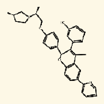 CC1=C(c2cccc(O)c2)C(c2ccc(OC[C@H](C)N3CC[C@@H](C)C3)cc2)Oc2ccc(-c3ccccn3)cc21